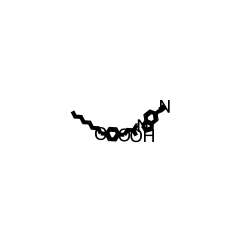 CCCCCCCOc1ccc(OCC(O)Cn2ccc3cc(C#N)ccc32)cc1